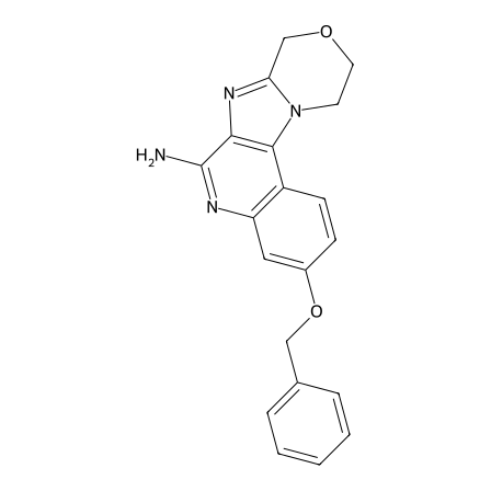 Nc1nc2cc(OCc3ccccc3)ccc2c2c1nc1n2CCOC1